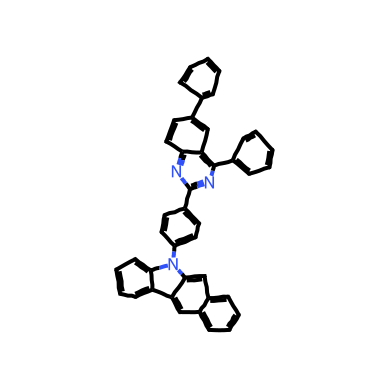 c1ccc(-c2ccc3nc(-c4ccc(-n5c6ccccc6c6cc7ccccc7cc65)cc4)nc(-c4ccccc4)c3c2)cc1